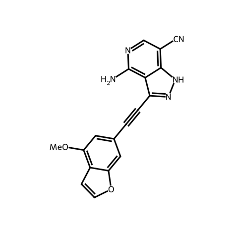 COc1cc(C#Cc2n[nH]c3c(C#N)cnc(N)c23)cc2occc12